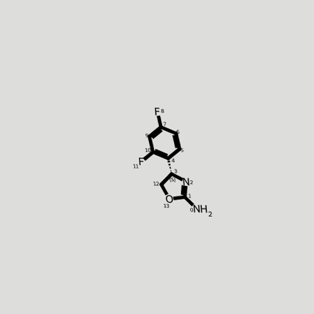 NC1=N[C@@H](c2ccc(F)cc2F)CO1